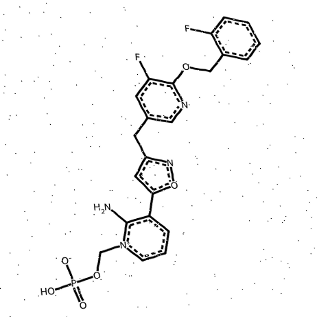 Nc1c(-c2cc(Cc3cnc(OCc4ccccc4F)c(F)c3)no2)ccc[n+]1COP(=O)([O-])O